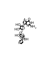 C[n+]1cn([C@@H]2O[C@H](COP(=O)(O)OP(=O)(O)n3ccnc3)[C@@H](O)[C@H]2O)c2nc(N)[nH]c(=O)c21